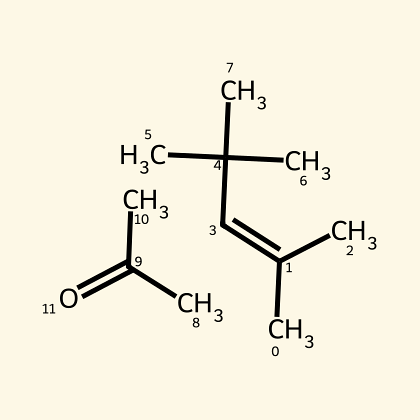 CC(C)=CC(C)(C)C.CC(C)=O